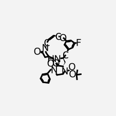 CC(C)(C)OC(=O)N1CCN(Cc2ccccc2)C(=O)[C@@H]1C[C@@H]1Cc2cc(F)cc(c2)OCC=CCN2CC(CC2=O)C(=O)N1